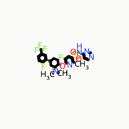 Cc1nc(O[C@H]2CC[C@H](c3cc(C(F)(F)F)ccc3F)C[C@@H]2N(C)C)c(F)cc1S(=O)(=O)Nc1ccncn1